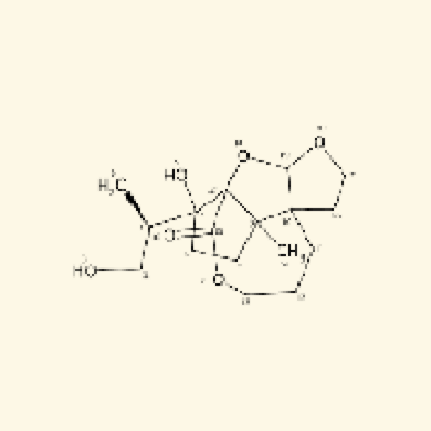 C[C@H](CO)C1(O)CCC2(C)C34CCCOC(=O)C12OC3OCC4